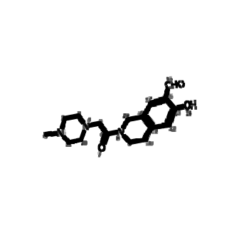 CN1CCN(CC(=O)N2CCc3cc(O)c(C=O)cc3C2)CC1